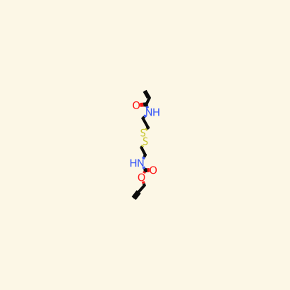 C#CCOC(=O)NCCSSCCNC(=O)C=C